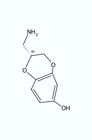 NC[C@@H]1COc2cc(O)ccc2O1